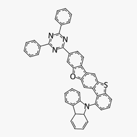 C1=CC2c3ccccc3N(c3cccc4sc5cc6c(cc5c34)oc3cc(-c4nc(-c5ccccc5)nc(-c5ccccc5)n4)ccc36)C2C=C1